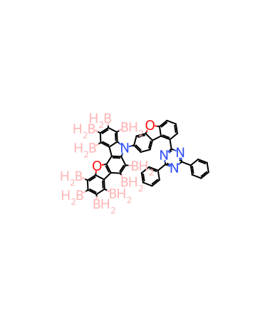 Bc1c(B)c(B)c2c(oc3c2c(B)c(B)c2c3c3c(B)c(B)c(B)c(B)c3n2-c2ccc3c(c2)oc2cccc(-c4nc(-c5ccccc5)nc(-c5ccccc5)n4)c23)c1B